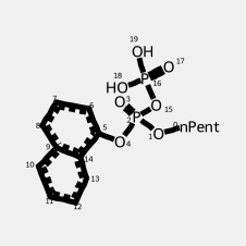 CCCCCOP(=O)(Oc1cccc2ccccc12)OP(=O)(O)O